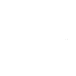 C=C(COCOC)C(=O)OCOC1CCCCC1